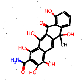 CC1(O)c2cccc(O)c2C(=O)c2c1cc1c(O)c(O)c(C(N)=O)c(O)c1c2O